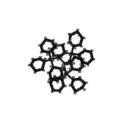 c1ccc([Si](O[SiH](O[Si](c2ccccc2)(c2ccccc2)c2ccccc2)O[Si](c2ccccc2)(c2ccccc2)c2ccccc2)(c2ccccc2)c2ccccc2)cc1